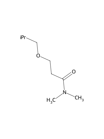 CC(C)COCCC(=O)N(C)C